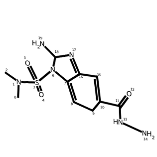 CN(C)S(=O)(=O)N1C2=CCC(C(=O)NN)=CC2=NC1N